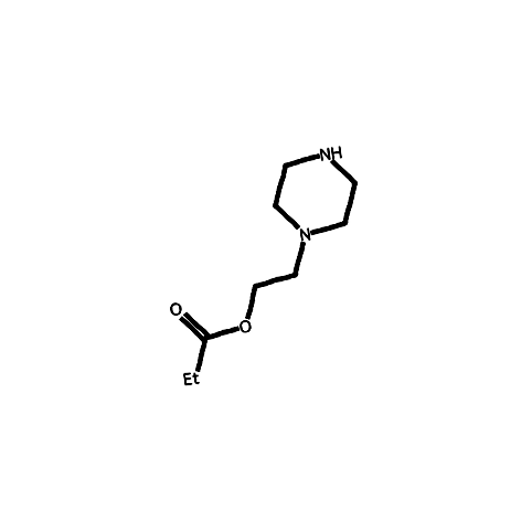 CCC(=O)OCCN1CCNCC1